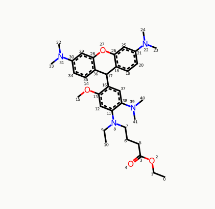 CCOC(=O)CCCN(CC)c1cc(OC)c(C2c3ccc(N(C)C)cc3Oc3cc(N(C)C)ccc32)cc1N(C)C